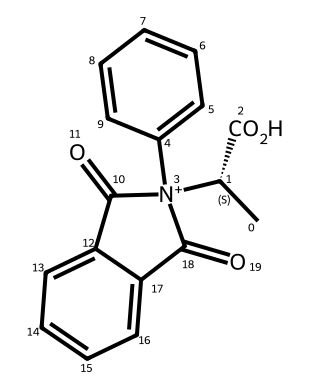 C[C@@H](C(=O)O)[N+]1(c2ccccc2)C(=O)c2ccccc2C1=O